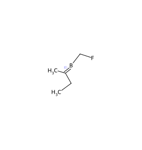 CC/C(C)=B/CF